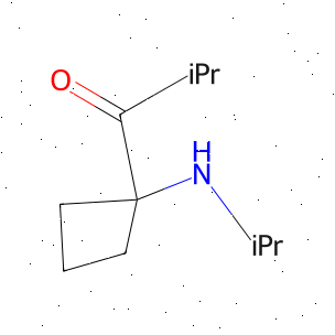 CC(C)NC1(C(=O)C(C)C)CCC1